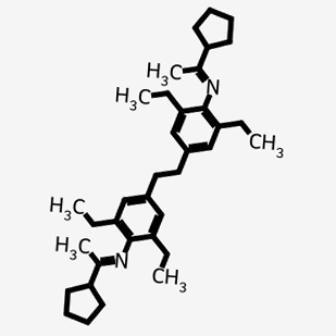 CCc1cc(CCc2cc(CC)c(/N=C(\C)C3CCCC3)c(CC)c2)cc(CC)c1/N=C(\C)C1CCCC1